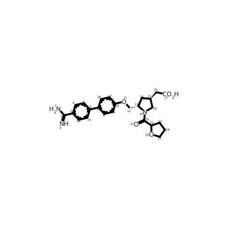 N=C(N)c1ccc(-c2ccc(OC[C@@H]3C[C@@H](CC(=O)O)CN3C(=O)C3CCCO3)cc2)cc1